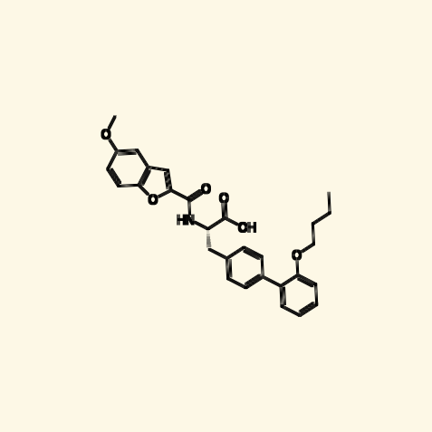 CCCCOc1ccccc1-c1ccc(C[C@H](NC(=O)c2cc3cc(OC)ccc3o2)C(=O)O)cc1